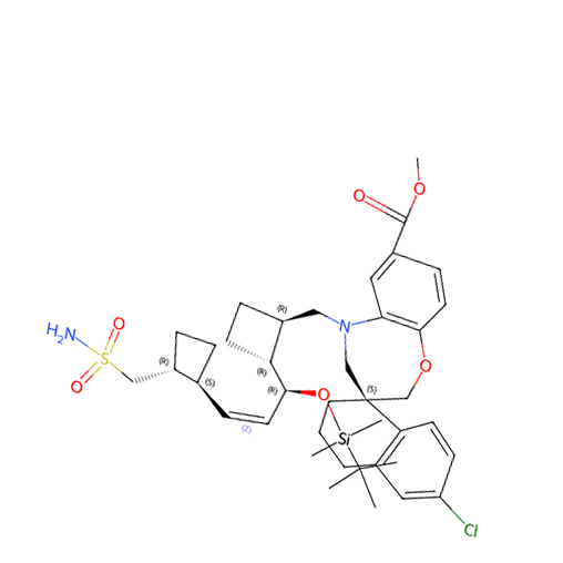 COC(=O)c1ccc2c(c1)N(C[C@@H]1CC[C@H]1[C@H](/C=C\[C@@H]1CC[C@H]1CS(N)(=O)=O)O[Si](C)(C)C(C)(C)C)C[C@@]1(CCCc3cc(Cl)ccc31)CO2